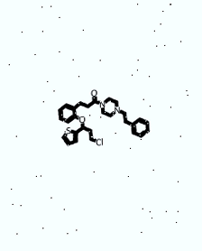 O=C(CCc1ccccc1OC(CCCl)c1cccs1)N1CCN(CCc2ccccc2)CC1